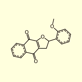 COc1ccccc1C1CC2=C(O1)C(=O)c1ccccc1C2=O